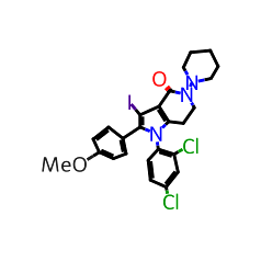 COc1ccc(-c2c(I)c3c(n2-c2ccc(Cl)cc2Cl)CCN(N2CCCCC2)C3=O)cc1